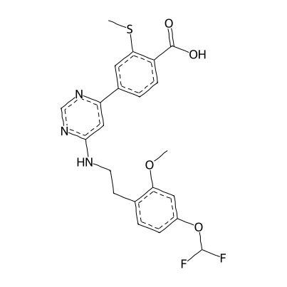 COc1cc(OC(F)F)ccc1CCNc1cc(-c2ccc(C(=O)O)c(SC)c2)ncn1